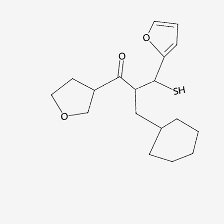 O=C(C1CCOC1)C(CC1CCCCC1)C(S)c1ccco1